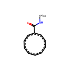 CCCCCCNC(=O)c1ccccccccc1